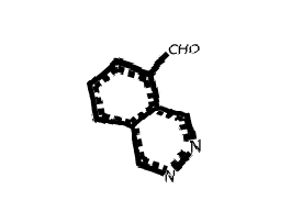 O=Cc1cccc2cnncc12